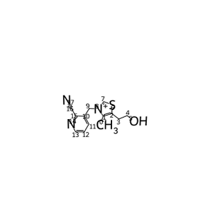 Cc1c(CCO)sc[n+]1Cc1cccnc1C#N